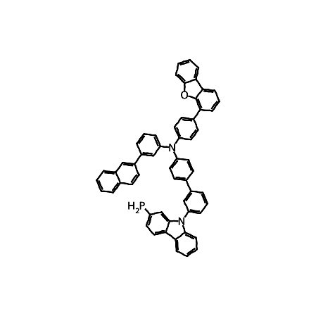 Pc1ccc2c3ccccc3n(-c3cccc(-c4ccc(N(c5ccc(-c6cccc7c6oc6ccccc67)cc5)c5cccc(-c6ccc7ccccc7c6)c5)cc4)c3)c2c1